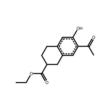 CCOC(=O)C1CCc2cc(O)c(C(C)=O)cc2C1